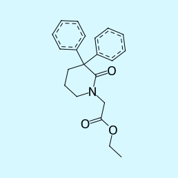 CCOC(=O)CN1CCCC(c2ccccc2)(c2ccccc2)C1=O